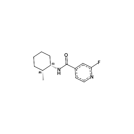 C[C@@H]1CCCC[C@@H]1NC(=O)c1ccnc(F)c1